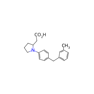 Cc1cccc(Cc2ccc(N3CCCC3CC(=O)O)cc2)c1